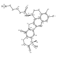 Cc1c(F)cc2nc3c(c4c2c1CC[C@@H]4NC(=O)COCCN)Cn1c-3cc2c(c1=O)COC(=O)[C@@]2(C)O